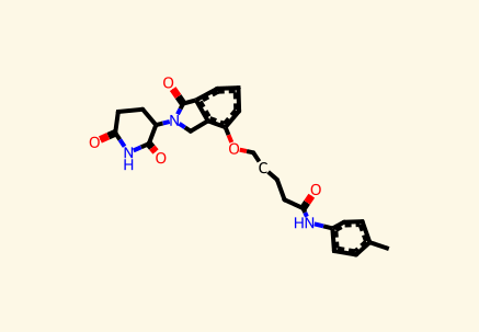 Cc1ccc(NC(=O)CCCCOc2cccc3c2CN(C2CCC(=O)NC2=O)C3=O)cc1